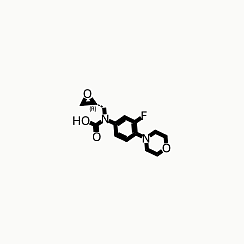 O=C(O)N(C[C@@H]1CO1)c1ccc(N2CCOCC2)c(F)c1